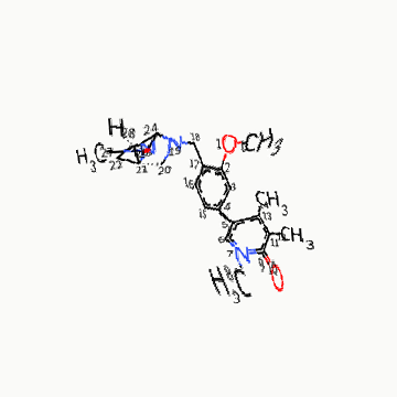 COc1cc(-c2cn(C)c(=O)c(C)c2C)ccc1CN1C[C@]23C[C@H]2C1CN3C